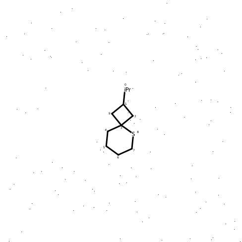 CC(C)C1CC2(CCCCS2)C1